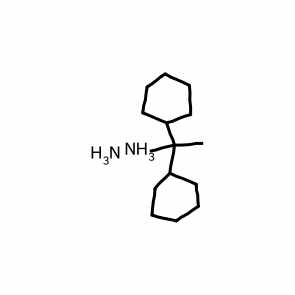 CC(C)(C1CCCCC1)C1CCCCC1.N.N